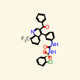 O=C(Nc1cccc(-c2c(C(=O)c3ccccc3)cnc3c(C(F)(F)F)cccc23)c1)NS(=O)(=O)c1ccccc1Cl